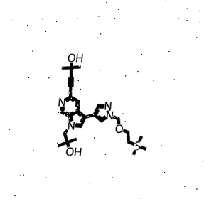 CC(C)(O)C#Cc1cc2c(-c3cnn(COCCS(C)(C)C)c3)cn(CC(C)(C)O)c2cn1